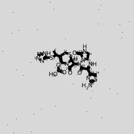 CC(Sc1nnn[nH]1)C1=C(OC(=O)O)N2C(=O)C(N(C(=O)C(=N)c3csc(N)n3)N3CCNC3=O)[C@@H]2SC1